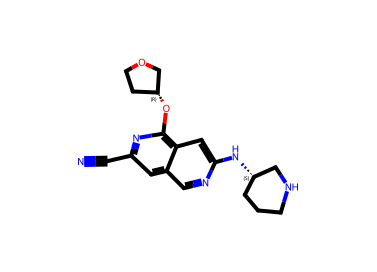 N#Cc1cc2cnc(N[C@H]3CCCNC3)cc2c(O[C@@H]2CCOC2)n1